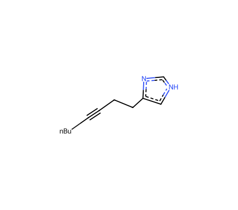 CCCCC#CCCc1c[nH]cn1